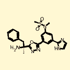 CN(c1cc(-c2ncc[nH]2)cc(-c2nnc([C@@](C)(N)Cc3ccccc3)o2)c1)S(C)(=O)=O